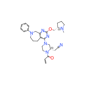 C=CC(=O)N1CCN(c2nc(OC[C@@H]3CCCN3C)nc3c2CCCN(c2ccccc2)C3)C[C@@H]1CC#N